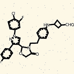 O=CC1CC(Nc2ccc(CCN3C(=O)COC3c3cn(-c4ccc(Cl)c(F)c4)nc3-c3ccc(F)cc3)cc2)C1